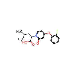 CC(C)CC(C(=O)O)n1ccc(Oc2ccccc2F)cc1=O